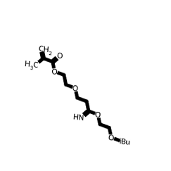 C=C(C)C(=O)OCCOCCC(=N)OCCOC(C)CC